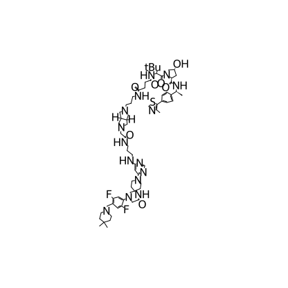 Cc1ncsc1-c1ccc([C@H](C)NC(=O)[C@@H]2C[C@@H](O)CN2C(=O)[C@@H](NC(=O)CCC(=O)NCCCN2C[C@@H]3CN(CC(=O)NCCCNc4cc(N5CCC6(CC5)CN(c5cc(F)c(CN7CCC(C)(C)CC7)cc5F)CC(=O)N6)ncn4)C[C@@H]3C2)C(C)(C)C)cc1